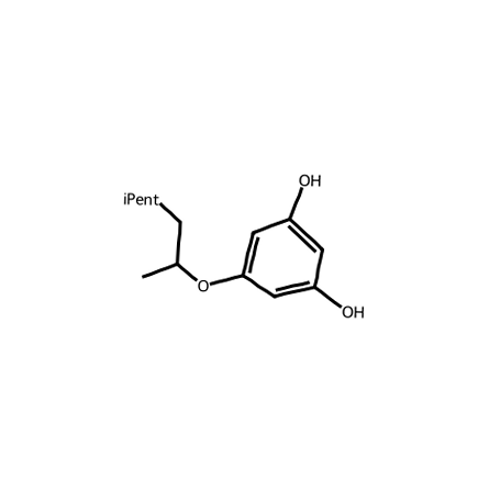 CCCC(C)CC(C)Oc1cc(O)cc(O)c1